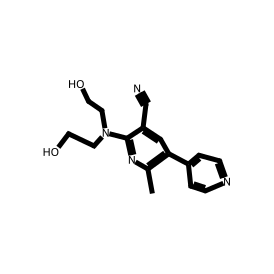 Cc1nc(N(CCO)CCO)c(C#N)cc1-c1ccncc1